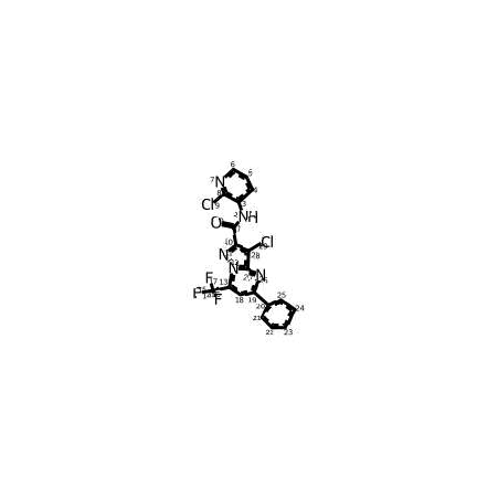 O=C(Nc1cccnc1Cl)c1nn2c(C(F)(F)F)cc(-c3ccccc3)nc2c1Cl